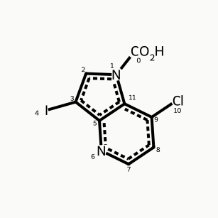 O=C(O)n1cc(I)c2nccc(Cl)c21